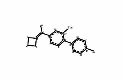 CC(=C1CCC1)c1ccc(-c2ccc(C)cc2)c(F)c1